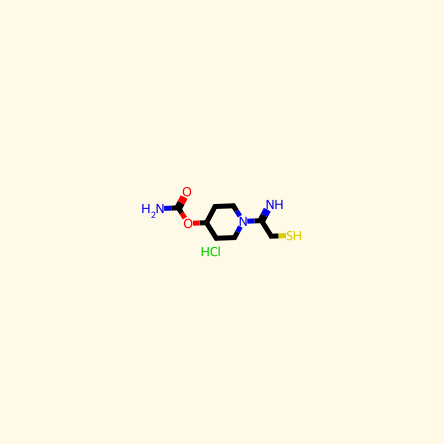 Cl.N=C(CS)N1CCC(OC(N)=O)CC1